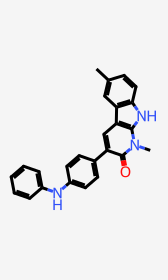 Cc1ccc2[nH]c3c(cc(-c4ccc(Nc5ccccc5)cc4)c(=O)n3C)c2c1